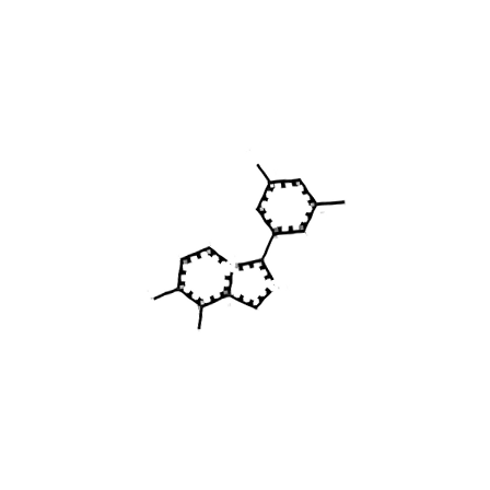 CCOC(=O)c1c(Cl)ccn2c(-c3cc(C)cc(F)c3)ncc12